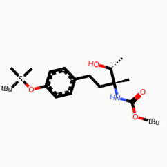 C[C@@H](O)[C@@](C)(CCc1ccc(O[Si](C)(C)C(C)(C)C)cc1)NC(=O)OC(C)(C)C